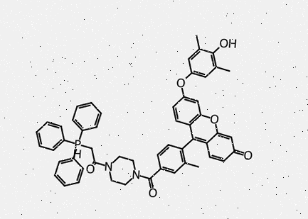 Cc1cc(C(=O)N2CCN(C(=O)C[PH](c3ccccc3)(c3ccccc3)c3ccccc3)CC2)ccc1-c1c2ccc(=O)cc-2oc2cc(Oc3cc(C)c(O)c(C)c3)ccc12